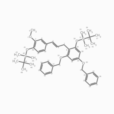 COc1cc(/C=C/Cc2c(OCc3ccccc3)cc(OCc3ccccc3)cc2O[Si](C)(C)C(C)(C)C)ccc1O[Si](C)(C)C(C)(C)C